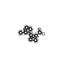 Clc1cc(Cl)cc(-c2ccc3c(c2)-c2cc(N(c4ccccc4)c4ccc(-c5ccccc5)c5sc6ccccc6c45)ccc2C32c3ccccc3-c3ccccc32)c1